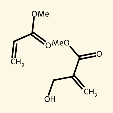 C=C(CO)C(=O)OC.C=CC(=O)OC